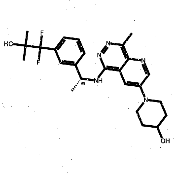 Cc1nnc(N[C@H](C)c2cccc(C(F)(F)C(C)(C)O)c2)c2cc(N3CCC(O)CC3)cnc12